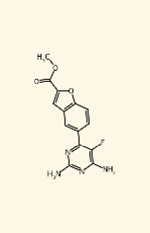 COC(=O)c1cc2cc(-c3nc(N)nc(N)c3F)ccc2o1